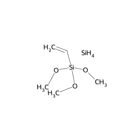 C=C[Si](OC)(OC)OC.[SiH4]